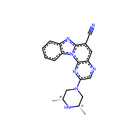 C[C@@H]1CN(c2cnc3cc(C#N)c4nc5ccccc5n4c3n2)C[C@H](C)N1